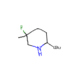 CC1(F)CCC(C(C)(C)C)NC1